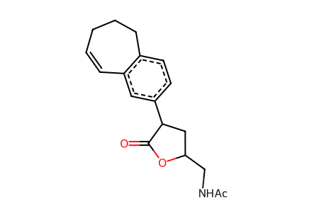 CC(=O)NCC1CC(c2ccc3c(c2)C=CCCC3)C(=O)O1